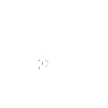 CCCCCCCCCc1ccc(C(=O)OC)c(C(=O)OC)c1CCCCCCCCC